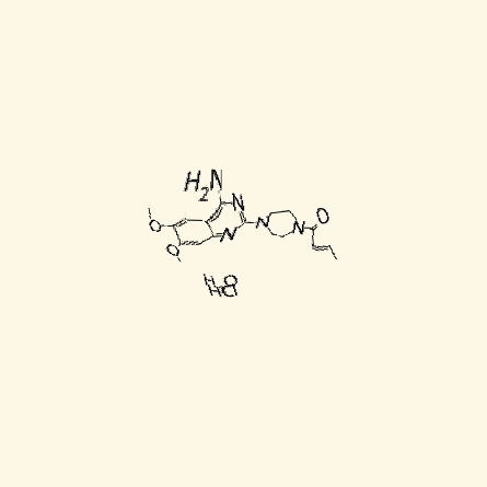 CC=CC(=O)N1CCN(c2nc(N)c3cc(OC)c(OC)cc3n2)CC1.Cl.O